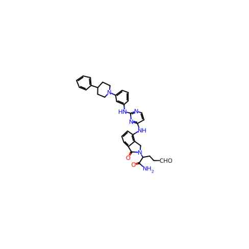 NC(=O)C(CCC=O)N1Cc2c(Nc3ccnc(Nc4cccc(N5CCC(c6ccccc6)CC5)c4)n3)cccc2C1=O